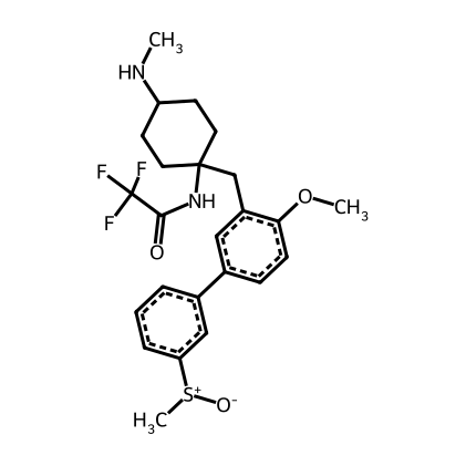 CNC1CCC(Cc2cc(-c3cccc([S+](C)[O-])c3)ccc2OC)(NC(=O)C(F)(F)F)CC1